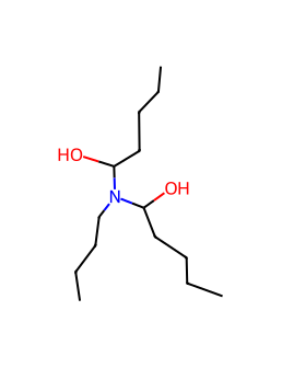 CCCCC(O)N(CCCC)C(O)CCCC